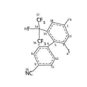 Cc1[c]c(I)c(-c2ccc(C#N)cc2)c(C(F)(C(F)(F)F)C(F)(F)F)c1